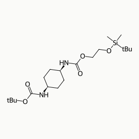 CC(C)(C)OC(=O)N[C@H]1CC[C@@H](NC(=O)OCCO[Si](C)(C)C(C)(C)C)CC1